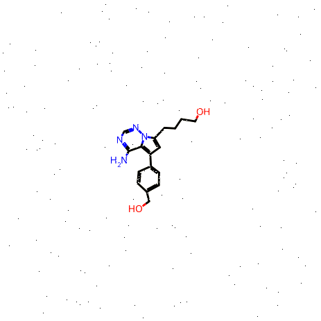 Nc1ncnn2c(CCCCO)cc(-c3ccc(CO)cc3)c12